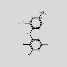 Cc1cc(C)c(C)c(Oc2ccc(C(F)(F)F)cc2C=O)c1